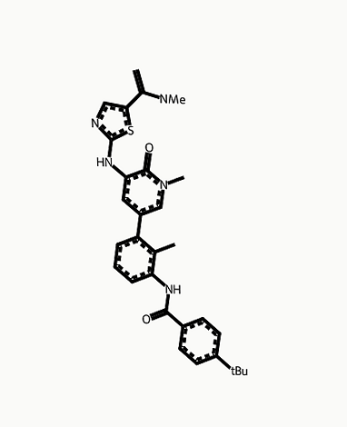 C=C(NC)c1cnc(Nc2cc(-c3cccc(NC(=O)c4ccc(C(C)(C)C)cc4)c3C)cn(C)c2=O)s1